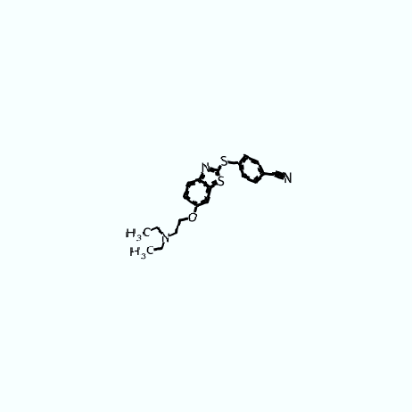 CCN(CC)CCOc1ccc2nc(Sc3ccc(C#N)cc3)sc2c1